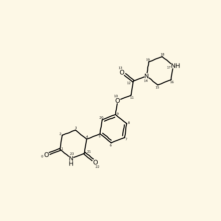 O=C1CCC(c2cccc(OCC(=O)N3CCNCC3)c2)C(=O)N1